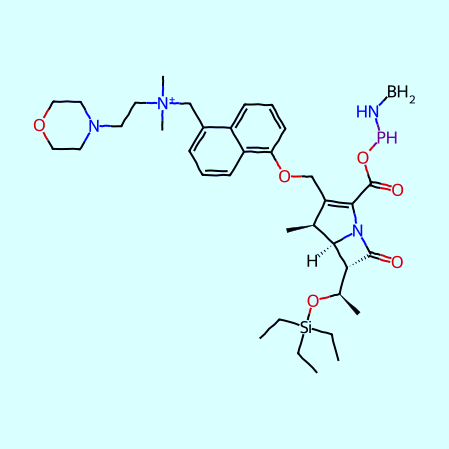 BNPOC(=O)C1=C(COc2cccc3c(C[N+](C)(C)CCN4CCOCC4)cccc23)[C@H](C)[C@@H]2[C@@H]([C@@H](C)O[Si](CC)(CC)CC)C(=O)N12